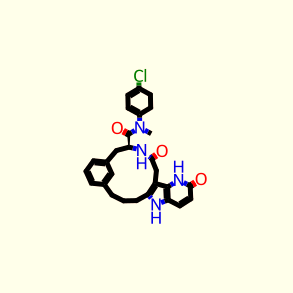 CN(C(=O)[C@@H]1Cc2cccc(c2)CCCc2[nH]c3ccc(=O)[nH]c3c2CC(=O)N1)C1=CC=C(Cl)CC1